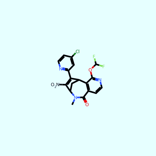 CN1C(=O)c2ccnc(OC(F)F)c2C2CC1C([N+](=O)[O-])=C2c1cc(Cl)ccn1